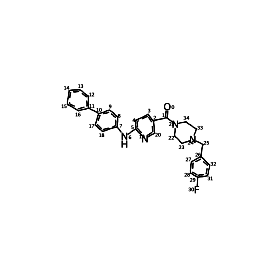 O=C(c1ccc(Nc2ccc(-c3ccccc3)cc2)nc1)N1CCN(Cc2ccc(F)cc2)CC1